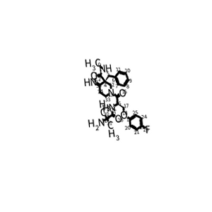 CNC(=O)[C@]1(Cc2ccccc2)CN(C(=O)[C@@H](COc2ccc(F)cc2)NC(=O)C(C)(C)N)CCC1=N